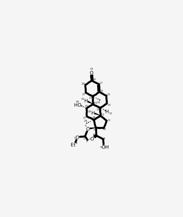 CCOC(C)O[C@]1(C(=O)CO)CC[C@H]2[C@@H]3CCC4=CC(=O)CC[C@]4(C)[C@H]3[C@@H](O)C[C@@]21C